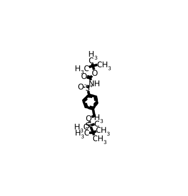 CC(C)(C)OC(=O)N[S@@+]([O-])c1ccc(CO[Si](C)(C)C(C)(C)C)cc1